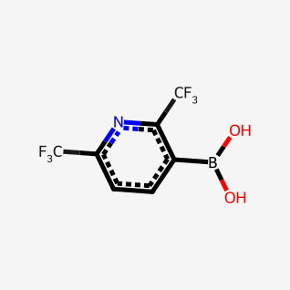 OB(O)c1ccc(C(F)(F)F)nc1C(F)(F)F